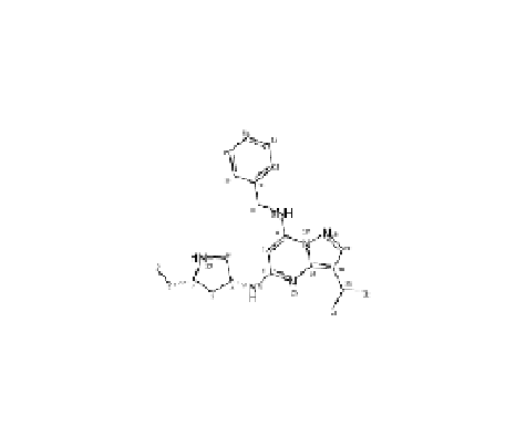 CC[C@H]1C[C@@H](Nc2cc(NCc3ccccc3)n3ncc(C(C)C)c3n2)CN1